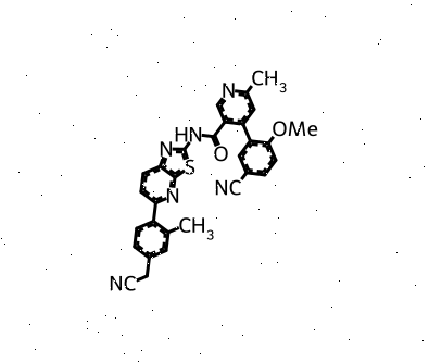 COc1ccc(C#N)cc1-c1cc(C)ncc1C(=O)Nc1nc2ccc(-c3ccc(CC#N)cc3C)nc2s1